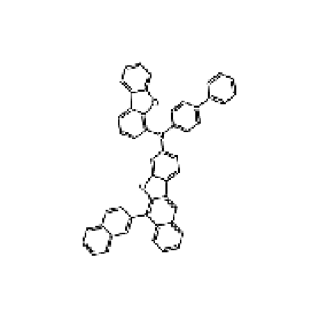 c1ccc(-c2ccc(N(c3ccc4c(c3)oc3c(-c5ccc6ccccc6c5)c5ccccc5cc34)c3cccc4c3oc3ccccc34)cc2)cc1